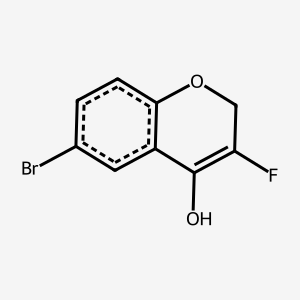 OC1=C(F)COc2ccc(Br)cc21